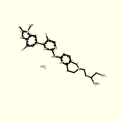 CNC(CN)CCN1CCc2nc(Nc3ncc(F)c(-c4cc(F)c5nc(C)n(C(C)C)c5c4)n3)ccc2C1.Cl